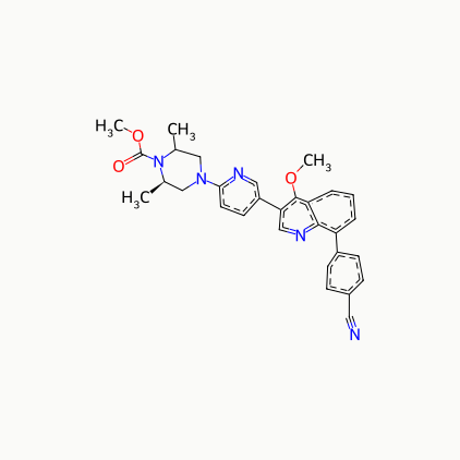 COC(=O)N1C(C)CN(c2ccc(-c3cnc4c(-c5ccc(C#N)cc5)cccc4c3OC)cn2)C[C@H]1C